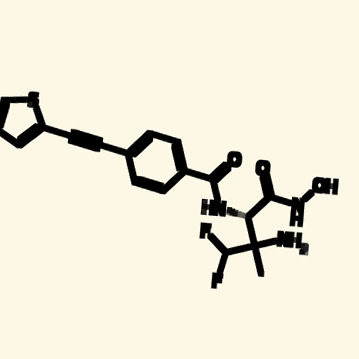 CC(N)(C(F)F)[C@H](NC(=O)c1ccc(C#Cc2cccs2)cc1)C(=O)NO